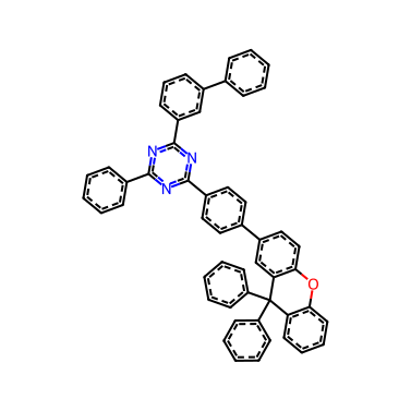 c1ccc(-c2cccc(-c3nc(-c4ccccc4)nc(-c4ccc(-c5ccc6c(c5)C(c5ccccc5)(c5ccccc5)c5ccccc5O6)cc4)n3)c2)cc1